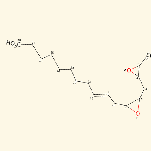 CCC1OC1CC1OC1CC=CCCCCCCCC(=O)O